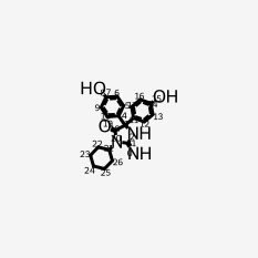 N=C1NC(c2ccc(O)cc2)(c2ccc(O)cc2)C(=O)N1C1CCCCC1